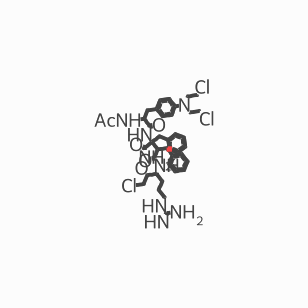 CC(=O)NC(Cc1ccc(N(CCCl)CCCl)cc1)C(=O)NC(Cc1ccccc1)(C(N)=O)C(Cc1ccccc1)C(=O)NC(CCCNC(=N)N)C(=O)CCl